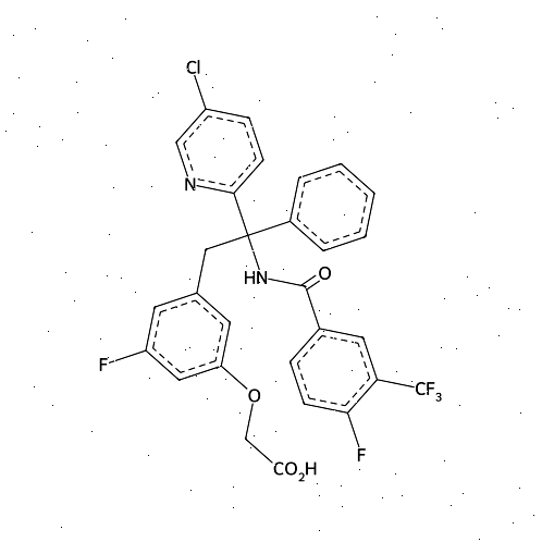 O=C(O)COc1cc(F)cc(CC(NC(=O)c2ccc(F)c(C(F)(F)F)c2)(c2ccccc2)c2ccc(Cl)cn2)c1